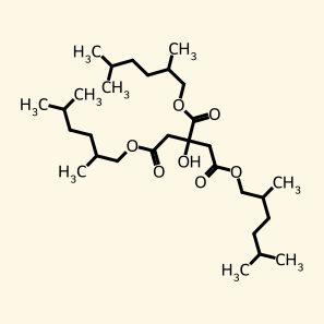 CC(C)CCC(C)COC(=O)CC(O)(CC(=O)OCC(C)CCC(C)C)C(=O)OCC(C)CCC(C)C